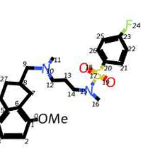 COc1cccc2c1CC(CN(C)CCCN(C)S(=O)(=O)c1ccc(F)cc1)CC2